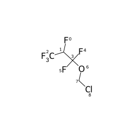 FC(C(F)(F)F)C(F)(F)OCCl